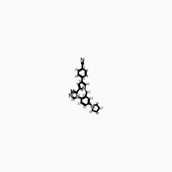 N#Cc1ccc(-c2cc3n(c2)Cc2cc(N4CCCC4)ccc2-n2cnnc2-3)cc1